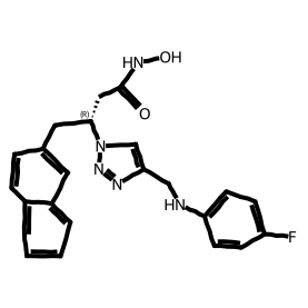 O=C(C[C@@H](Cc1ccc2ccccc2c1)n1cc(CNc2ccc(F)cc2)nn1)NO